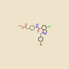 CCOC(=O)CC1CCC(NC(=O)c2ccc(Cl)c3cnn(Cc4ccc(Br)cc4)c23)CC1